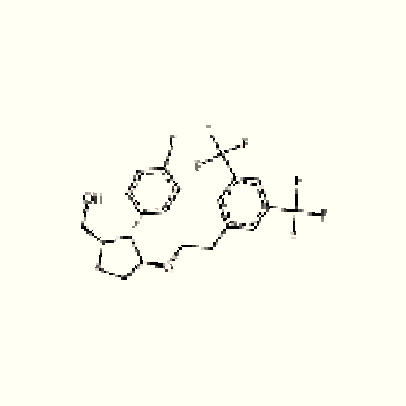 OC[C@@H]1CC[C@H](OCCc2cc(C(F)(F)F)cc(C(F)(F)F)c2)[C@H]1c1ccc(F)cc1